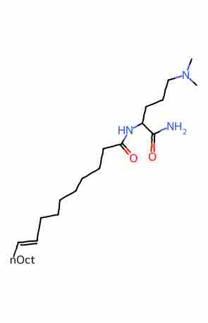 CCCCCCCC/C=C/CCCCCCCC(=O)NC(CCCN(C)C)C(N)=O